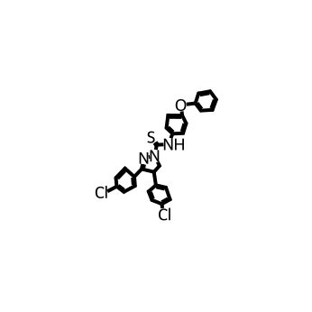 S=C(Nc1ccc(Oc2ccccc2)cc1)N1CC(c2ccc(Cl)cc2)C(c2ccc(Cl)cc2)=N1